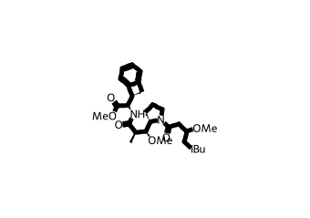 CCC(C)CC(CC(=O)N1CCC[C@H]1[C@H](OC)[C@@H](C)C(=O)N[C@H](C(=O)OC)[C@H]1Cc2ccccc21)OC